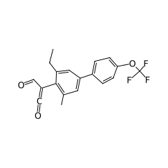 CCc1cc(-c2ccc(OC(F)(F)F)cc2)cc(C)c1C(=C=O)C=O